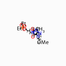 CCOP(=O)(CC)OCCCCn1c(=O)c2c(ncn2CCOC)n(C)c1=O